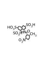 Cc1ccc([N+](=O)[O-])cc1C(=O)Nc1cc(S(=O)(=O)O)cc2cc(S(=O)(=O)O)cc(S(=O)(=O)O)c12